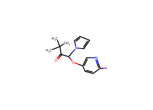 CC(C)(C)C(=O)C(Oc1ccc(I)nc1)n1cccc1